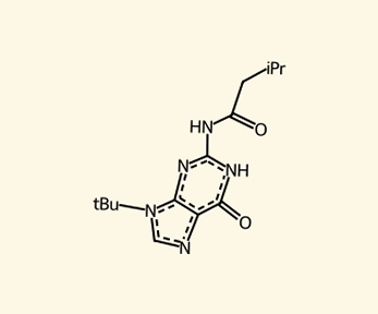 CC(C)CC(=O)Nc1nc2c(ncn2C(C)(C)C)c(=O)[nH]1